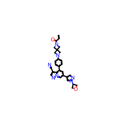 C=CC(=O)N1CC2(C1)CN(c1ccc(-c3cc(-c4cnn(C5COC5)c4)cn4ncc(C#N)c34)cc1)C2